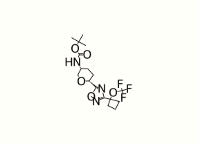 CC(C)(C)OC(=O)N[C@@H]1CC[C@@H](c2nc(C3(OC(F)(F)F)CCC3)no2)OC1